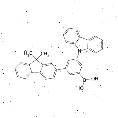 CC1(C)c2ccccc2-c2ccc(-c3cc(B(O)O)cc(-n4c5ccccc5c5ccccc54)c3)cc21